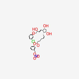 O=C(CCC/C=C\C[C@@H]1[C@@H](/C=C/[C@@H](O)COc2cccc(Cl)c2)[C@H](O)C[C@@H]1O)Oc1cccc(CO[N+](=O)[O-])c1